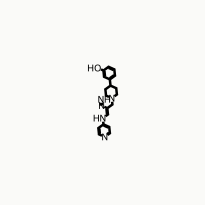 N=N/C(=C\Nc1ccncc1)CN1CCC(c2cccc(O)c2)CC1